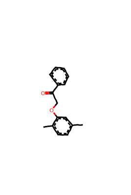 Cc1ccc(C)c(OCC(=O)c2ccccc2)c1